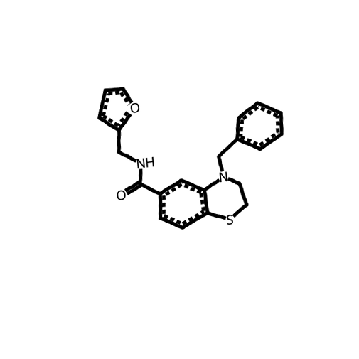 O=C(NCc1ccco1)c1ccc2c(c1)N(Cc1ccccc1)CCS2